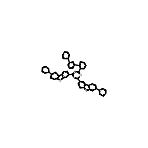 c1ccc(-c2cccc(-c3ccccc3-c3nc(-c4ccc5c(c4)sc4ccc(-c6ccccc6)cc45)nc(-c4ccc5sc6cc(-c7ccccc7)ccc6c5c4)n3)c2)cc1